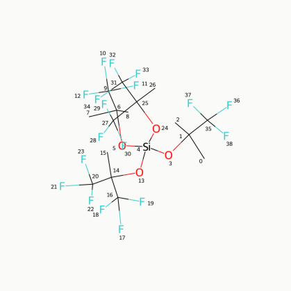 CC(C)(O[Si](OC(C)(C)C(F)(F)F)(OC(C)(C(F)(F)F)C(F)(F)F)OC(C)(C(F)(F)F)C(F)(F)F)C(F)(F)F